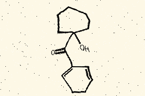 O=C(C1=CCCC=C1)C1(O)CCCCC1